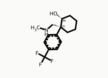 CNC[C@@]1(c2ccc(C(F)(F)F)cc2)CCCC[C@H]1O